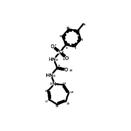 Cc1ccc(S(=O)(=O)NC(=O)NN2C=CC=CC=C2)cc1